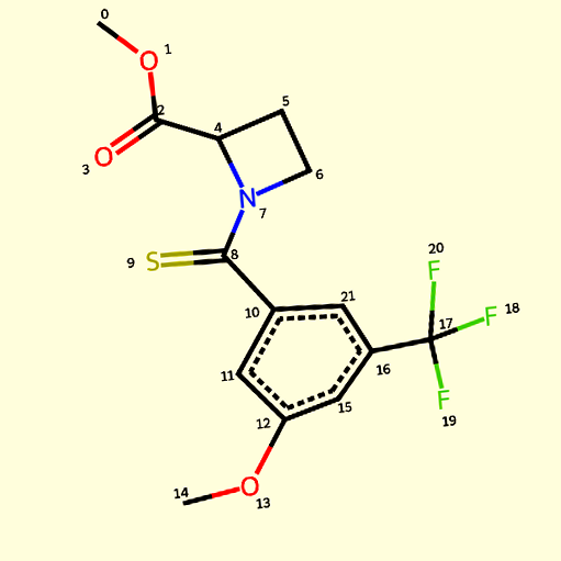 COC(=O)C1CCN1C(=S)c1cc(OC)cc(C(F)(F)F)c1